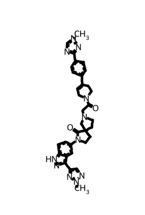 Cn1cnc(-c2ccc(C3=CCN(C(=O)CN4CCC5(CCN(c6ccc7[nH]nc(-c8cnn(C)n8)c7c6)C5=O)C4)CC3)cc2)n1